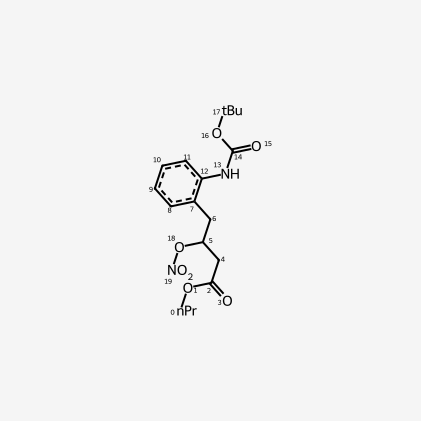 CCCOC(=O)CC(Cc1ccccc1NC(=O)OC(C)(C)C)O[N+](=O)[O-]